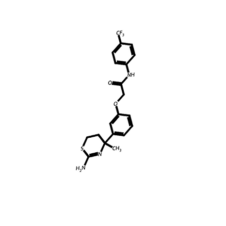 CC1(c2cccc(OCC(=O)Nc3ccc(C(F)(F)F)cc3)c2)CCSC(N)=N1